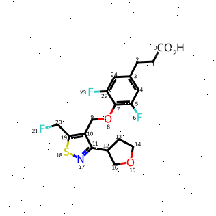 O=C(O)CCc1cc(F)c(OCc2c(C3CCOC3)nsc2CF)c(F)c1